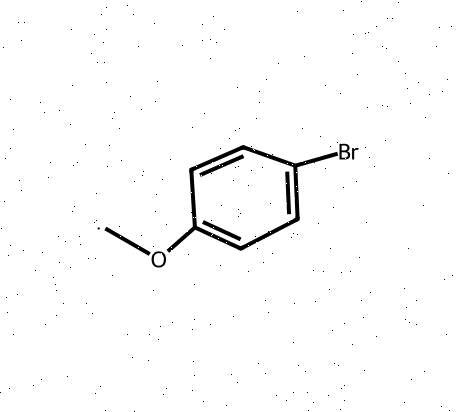 [CH2]Oc1ccc(Br)cc1